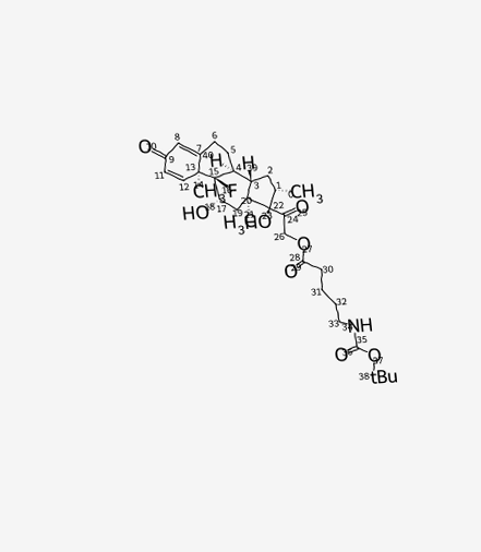 C[C@H]1C[C@H]2[C@@H]3CCC4=CC(=O)C=C[C@]4(C)[C@@]3(F)[C@@H](O)C[C@]2(C)[C@@]1(O)C(=O)COC(=O)CCCCNC(=O)OC(C)(C)C